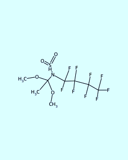 COC(C)(OC)N([SH](=O)=O)C(F)(F)C(F)(F)C(F)(F)C(F)(F)F